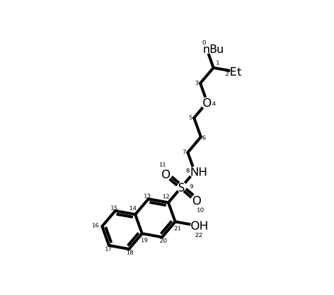 CCCCC(CC)COCCCNS(=O)(=O)c1cc2ccccc2cc1O